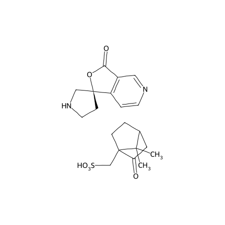 CC1(C)C2CCC1(CS(=O)(=O)O)C(=O)C2.O=C1O[C@]2(CCNC2)c2ccncc21